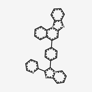 c1ccc(-c2nc3ccccn3c2-c2ccc(-c3cc4nc5ccccc5n4c4ccccc34)cc2)nc1